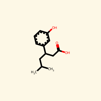 CC(C)CC(CC(=O)O)c1cccc(O)c1